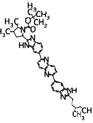 CC[C@H](C)CCc1nc2ccc(-c3ccc4nc(-c5ccc6nc(C7C[C@@H](C)[C@@H](C)N7C(=O)OC(C)(C)C)[nH]c6c5)ccc4n3)cc2[nH]1